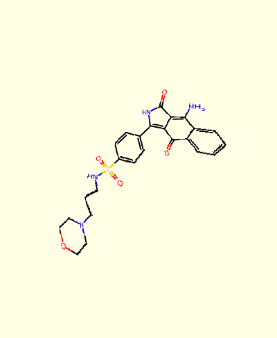 NC1=C2C(=O)NC(c3ccc(S(=O)(=O)NCCCN4CCOCC4)cc3)=C2C(=O)c2ccccc21